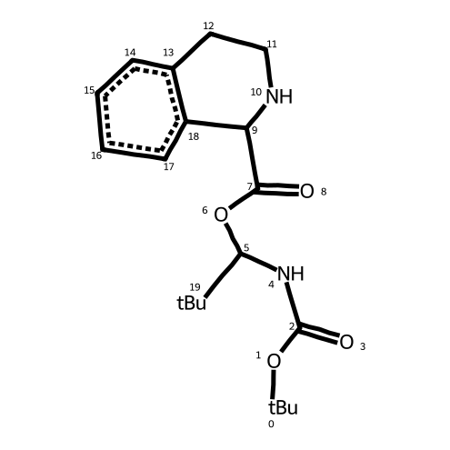 CC(C)(C)OC(=O)NC(OC(=O)C1NCCc2ccccc21)C(C)(C)C